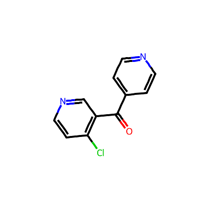 O=C(c1ccncc1)c1cnccc1Cl